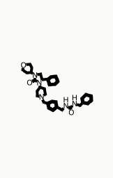 O=C(NCc1ccccc1)NCc1ccc(CN2CCC(N3C(=O)N(C4CCOCC4)CC3c3ccccc3)CC2)cc1